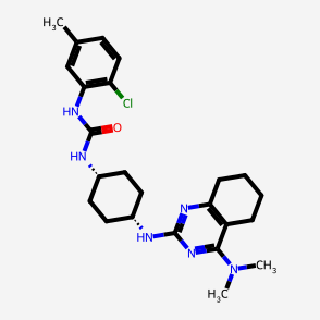 Cc1ccc(Cl)c(NC(=O)N[C@H]2CC[C@@H](Nc3nc4c(c(N(C)C)n3)CCCC4)CC2)c1